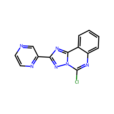 Clc1nc2ccccc2c2nc(-c3cnccn3)nn12